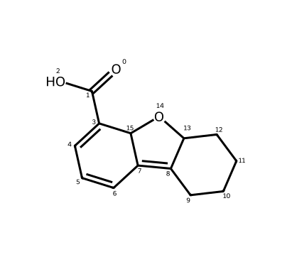 O=C(O)C1=CC=CC2=C3CCCCC3OC12